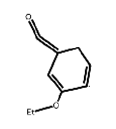 CCOC1=CC(=C=O)CC=[C]1